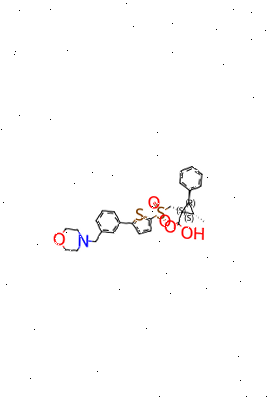 C[C@H]1[C@H](c2ccccc2)[C@]1(CS(=O)(=O)c1ccc(-c2cccc(CN3CCOCC3)c2)s1)C(=O)O